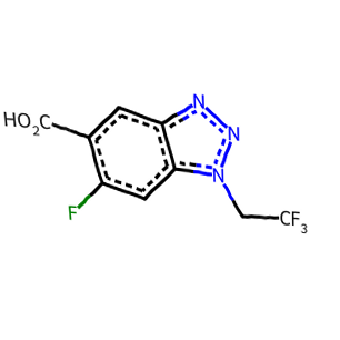 O=C(O)c1cc2nnn(CC(F)(F)F)c2cc1F